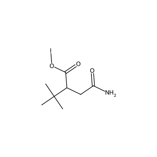 CC(C)(C)C(CC(N)=O)C(=O)OI